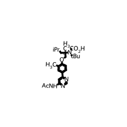 CC(=O)Nc1cc(-c2ccc(OC[C@](C)(CC(C)C)N(C(=O)O)C(C)(C)C)c(C)c2)ncn1